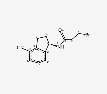 O=C(CCBr)N[C@@H]1CCc2c(Cl)cccc21